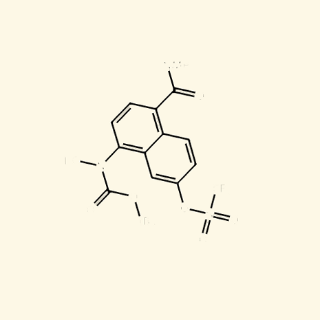 CNC(=O)c1ccc(N(C)C(=O)OC(C)(C)C)c2cc(OS(=O)(=O)C(F)(F)F)ccc12